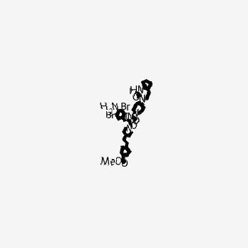 COC(=O)c1ccc(CCC2CCN(C(=O)[C@@H](Cc3cc(Br)c(N)c(Br)c3)NC(=O)N3CCC(N4CCc5ccccc5NC4=O)CC3)CC2)cc1